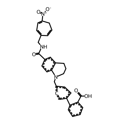 O=C(NCC1=CC=C([N+](=O)[O-])CC=C1)c1ccc2c(c1)CCCN2Cc1ccc(-c2ccccc2C(=O)O)cc1